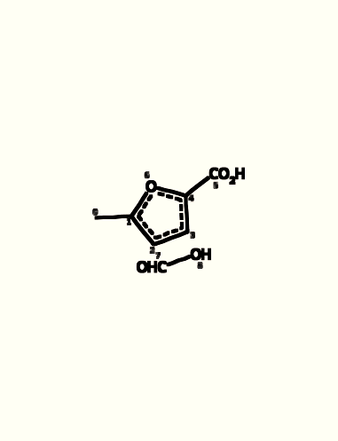 Cc1ccc(C(=O)O)o1.O=CO